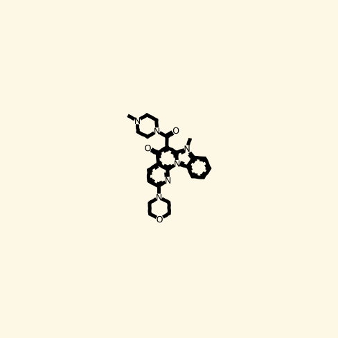 CN1CCN(C(=O)c2c(=O)c3ccc(N4CCOCC4)nc3n3c4ccccc4n(C)c23)CC1